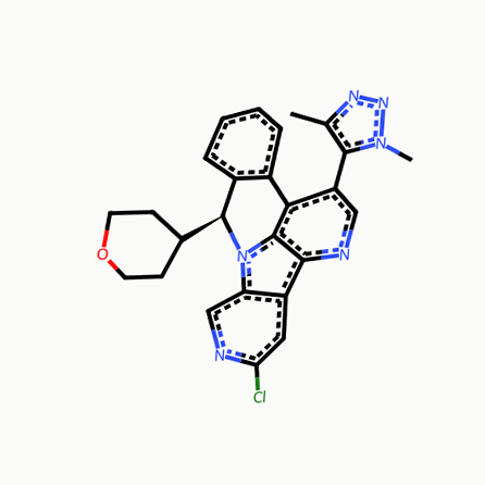 Cc1nnn(C)c1-c1cnc2c3cc(Cl)ncc3n3c2c1-c1ccccc1[C@@H]3C1CCOCC1